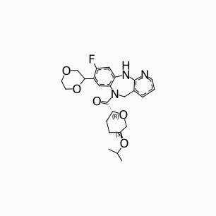 CC(C)O[C@H]1CC[C@H](C(=O)N2Cc3cccnc3Nc3cc(F)c(C4COCCO4)cc32)OC1